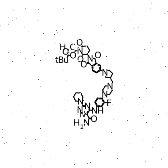 CC(OC(=O)C(C)(C)C)N1C(=O)CCC(N2C(=O)c3ccc(N4CCC(CN5CCN(c6ccc(Nc7nc(N8CCCCC8)nnc7C(N)=O)cc6F)CC5)C4)cc3C2=O)C1=O